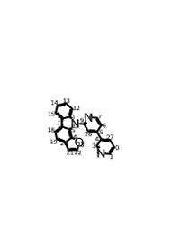 c1cncc(-c2ccnc(-n3c4ccccc4c4ccc5ccoc5c43)c2)c1